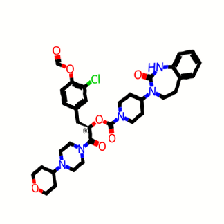 O=COc1ccc(C[C@@H](OC(=O)N2CCC(N3CCc4ccccc4NC3=O)CC2)C(=O)N2CCN(C3CCOCC3)CC2)cc1Cl